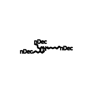 CCCCCCCCCCCCCCCCC[n+]1ccc(CCCCCCCCCCCCC)c(CCCCCCCCCCCCC)c1